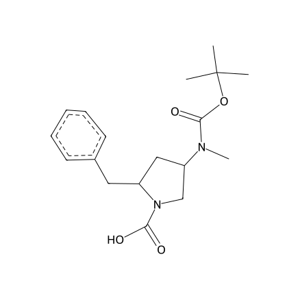 CN(C(=O)OC(C)(C)C)C1CC(Cc2ccccc2)N(C(=O)O)C1